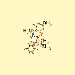 Bc1ccc([C@H](C)N2CC[C@](CC(=C)C)(c3ccccc3)OC2=O)cc1